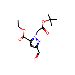 CCOC(=O)c1cc(C=O)nn1CC(=O)OC(C)(C)C